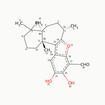 C[C@H]1CC[C@@H]2C(C)(C)CCC[C@@]2(C)c2c1oc1c(C=O)c(O)c(O)cc21